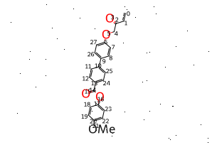 C=CC(=O)COc1ccc(-c2ccc(C(=O)Oc3ccc(OC)cc3)cc2)cc1